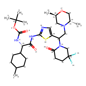 CC1CCC([C@H](NC(=O)OC(C)(C)C)C(=O)Nc2ncc(C(CN3C[C@@H](C)OC[C@@H]3C)N3CC(F)(F)CCC3=O)s2)CC1